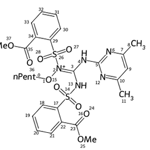 CCCCCO[N+](=C(Nc1nc(C)cc(C)n1)NS(=O)(=O)c1ccccc1C(=O)OC)S(=O)(=O)c1ccccc1C(=O)OC